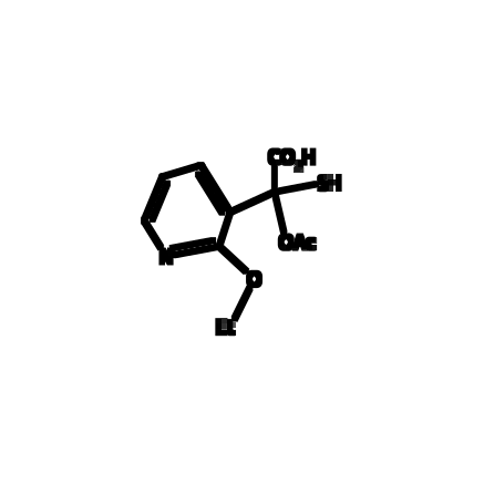 CCOc1ncccc1C(S)(OC(C)=O)C(=O)O